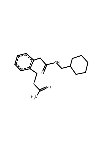 N=C(N)SCc1ccccc1CC(=O)NCC1CCCCC1